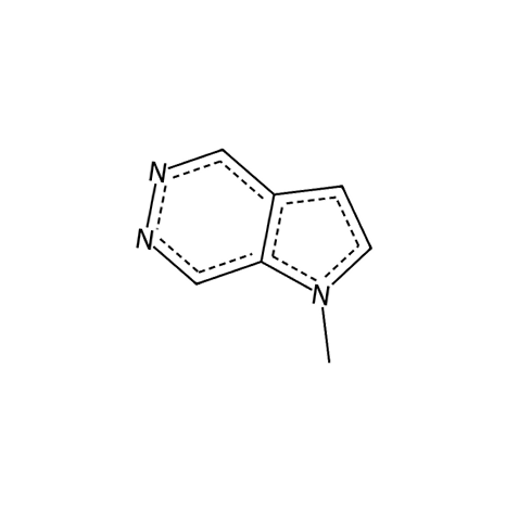 Cn1ccc2cnncc21